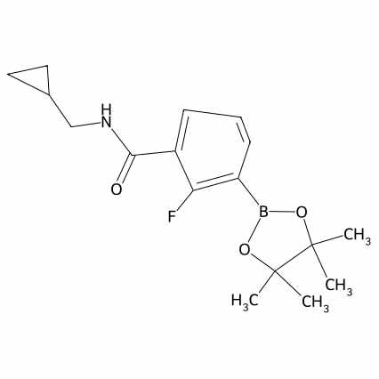 CC1(C)OB(c2cccc(C(=O)NCC3CC3)c2F)OC1(C)C